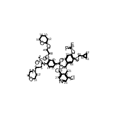 CS(=O)(=O)N(CCN1CCOCC1)c1ccc(C(=O)O[C@@H](Cc2c(Cl)cncc2Cl)c2ccc(OC(F)F)c(OCC3CC3)c2)cc1OCCOC1CCCCO1